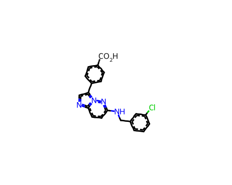 O=C(O)c1ccc(-c2cnc3ccc(NCc4cccc(Cl)c4)nn23)cc1